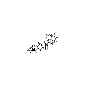 c1cc2c3c(cccc3c1)C(NCc1ccc(Cn3ccnc3)cc1)=N2